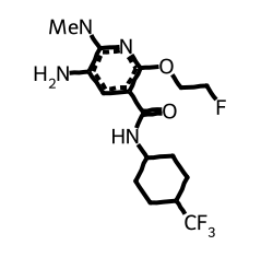 CNc1nc(OCCF)c(C(=O)NC2CCC(C(F)(F)F)CC2)cc1N